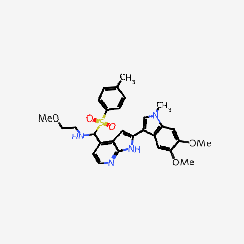 COCCNC(c1ccnc2[nH]c(-c3cn(C)c4cc(OC)c(OC)cc34)cc12)S(=O)(=O)c1ccc(C)cc1